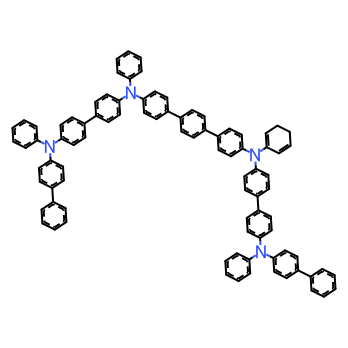 C1=CC(N(c2ccc(-c3ccc(-c4ccc(N(c5ccccc5)c5ccc(-c6ccc(N(c7ccccc7)c7ccc(-c8ccccc8)cc7)cc6)cc5)cc4)cc3)cc2)c2ccc(-c3ccc(N(c4ccccc4)c4ccc(-c5ccccc5)cc4)cc3)cc2)=CCC1